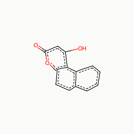 O=c1cc(O)c2c(ccc3ccccc32)o1